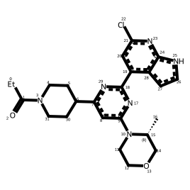 CCC(=O)N1CCC(c2cc(N3CCOC[C@H]3C)nc(-c3cc(Cl)nc4[nH]ccc34)n2)CC1